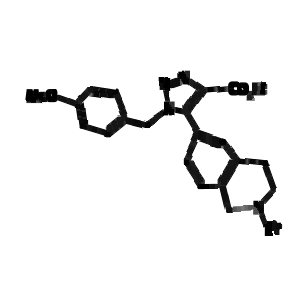 CCOC(=O)c1nnn(Cc2ccc(OC)cc2)c1-c1ccc2c(c1)CCN(C(C)C)C2